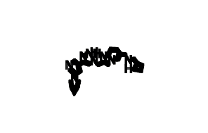 N=N/C(=C\NCc1cn2cc(CNCC3CCC3)ccc2n1)c1cncc(N2CC3CC3C2)c1